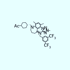 Cc1cc(C)c2c(c1)[C@@H](N(Cc1cc(C(F)(F)F)cc(C(F)(F)F)c1)c1nnn(C)n1)CCCN2C[C@H]1CC[C@H](C(C)=O)CC1